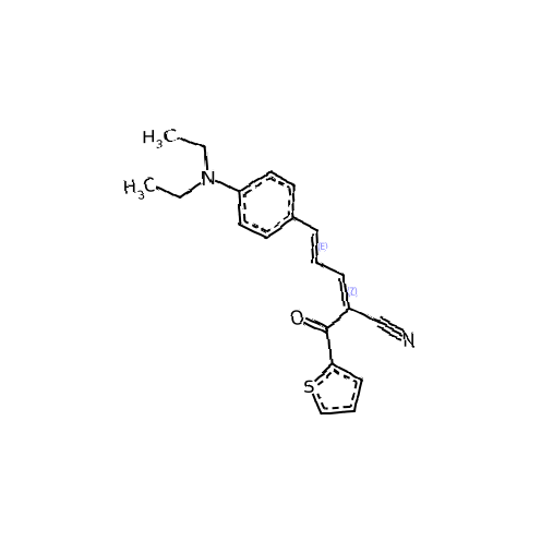 CCN(CC)c1ccc(/C=C/C=C(/C#N)C(=O)c2cccs2)cc1